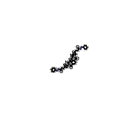 O=C(/C=C/c1ccccc1)CCc1cc2c(nc3c4sc5c6c(ccc(c(=O)n23)c46)c(=O)n2c3cc(CCC(=O)/C=C/c4ccccc4)sc3nc52)s1